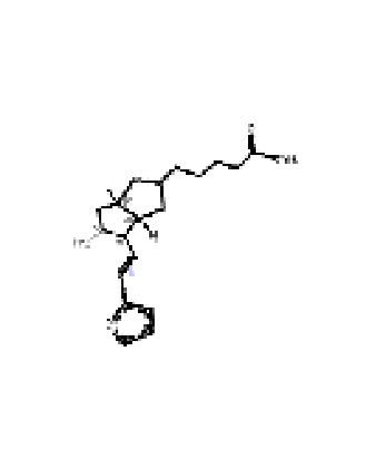 O=C(O)CCCCC1C[C@H]2C[C@@H](O)[C@H](/C=C/c3ccco3)[C@H]2C1